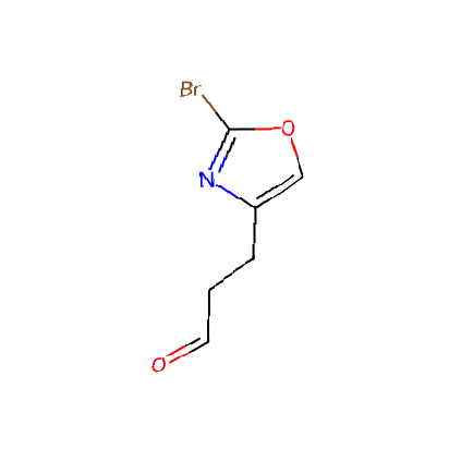 O=CCCc1coc(Br)n1